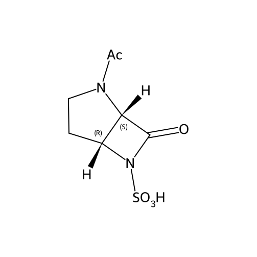 CC(=O)N1CC[C@@H]2[C@H]1C(=O)N2S(=O)(=O)O